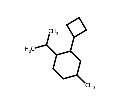 CC1CCC(C(C)C)[C](C2CCC2)C1